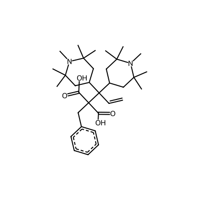 C=CC(C1CC(C)(C)N(C)C(C)(C)C1)(C1CC(C)(C)N(C)C(C)(C)C1)C(Cc1ccccc1)(C(=O)O)C(=O)O